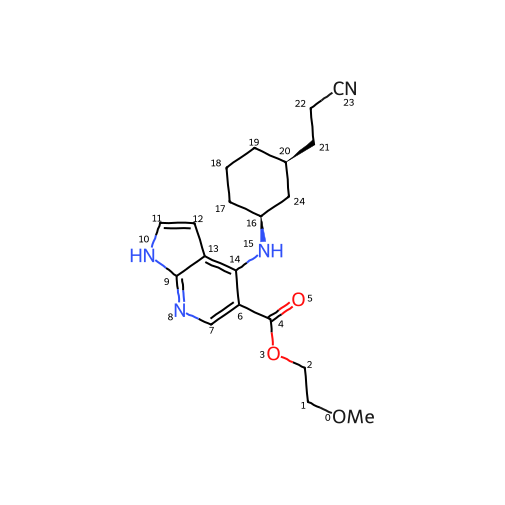 COCCOC(=O)c1cnc2[nH]ccc2c1N[C@H]1CCC[C@@H](CCC#N)C1